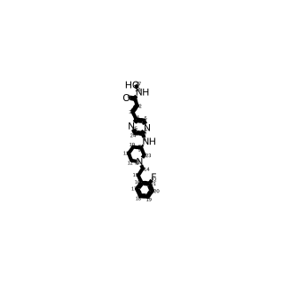 O=C(C=Cc1cnc(N[C@@H]2CCCN(CCc3ccccc3F)C2)cn1)NO